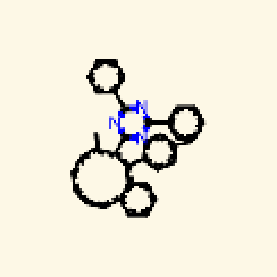 Cc1ccc(-c2c(-c3nc(-c4ccccc4)nc(-c4ccccc4)n3)c(C)cccccc3ccccc23)cc1